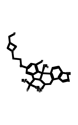 C[C@@H]1Cc2c(ccc3[nH]ncc23)[C@@](C)(c2c(F)cc(OCCN3CC(CF)C3)cc2F)N1CC(C)(C)F